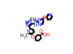 Cc1nc(-c2nnn(C)c2CNc2nccc(Oc3cccnc3)n2)ccc1O[C@H]1CCC[C@H](C(=O)O)C1